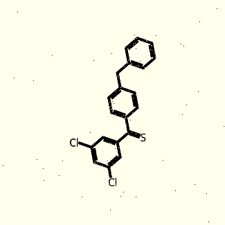 S=C(c1ccc(Cc2ccccc2)cc1)c1cc(Cl)cc(Cl)c1